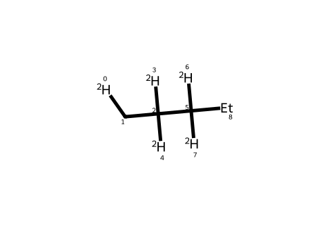 [2H]CC([2H])([2H])C([2H])([2H])CC